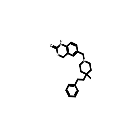 CC1(CCc2ccccc2)CCN(Cc2ccc3c(c2)COC(=O)N3)CC1